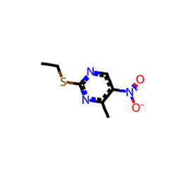 CCSc1ncc([N+](=O)[O-])c(C)n1